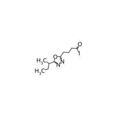 CCC(C)c1nnc(CCCC(=O)I)o1